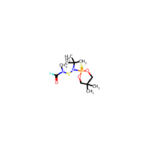 CN(SN(C(C)(C)C)P1(=S)OCC(C)(C)CO1)C(=O)F